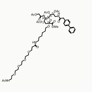 COC(=O)[C@@]1(OCCCCCCNC(=O)CCOCCOCCOCCOCCNC(C)=O)C[C@H](OC(C)=O)[C@@H](NC(=O)COC(C)=O)[C@H]([C@H](OC(C)=O)[C@@H](CNC(=O)Cc2ccc(-c3ccccc3)cc2)OC(C)=O)O1